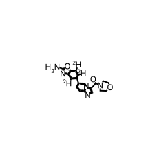 [2H]c1c(-c2ccc3ncc(C(=O)N4CCOCC4)n3c2)c([2H])c2nc(N)oc2c1[2H]